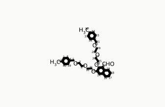 Cc1ccc(COCCOCCOc2cc3ccccc3c(C=O)c2OCCOCCOCc2ccc(C)cc2)cc1